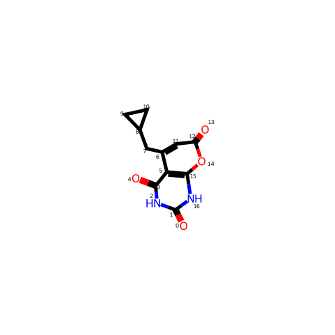 O=c1[nH]c(=O)c2c(CC3CC3)cc(=O)oc2[nH]1